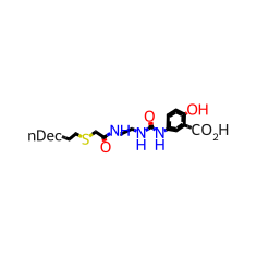 CCCCCCCCCCCCSCC(=O)NCCNC(=O)Nc1ccc(O)c(C(=O)O)c1